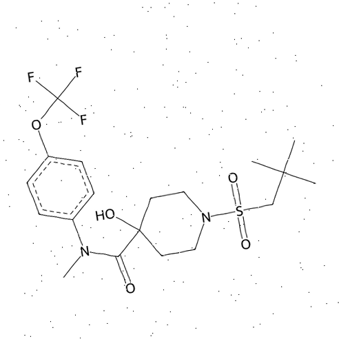 CN(C(=O)C1(O)CCN(S(=O)(=O)CC(C)(C)C)CC1)c1ccc(OC(F)(F)F)cc1